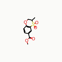 COC(=O)c1ccc2c(c1)S(=O)(=O)C(C)CO2